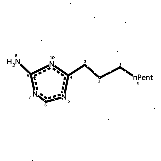 CCCCCCCCc1ncnc(N)n1